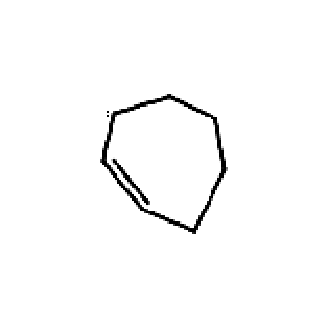 [C]1C=CCCCC1